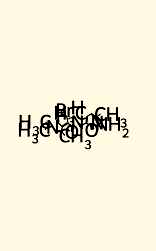 Cc1cc(C)n(N)c(=O)c1CNC(=O)c1cc(Br)cc2c1c(C)cn2C(C)C